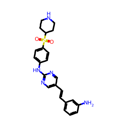 Nc1cccc(C=Cc2cnc(Nc3ccc(S(=O)(=O)C4CCNCC4)cc3)nc2)c1